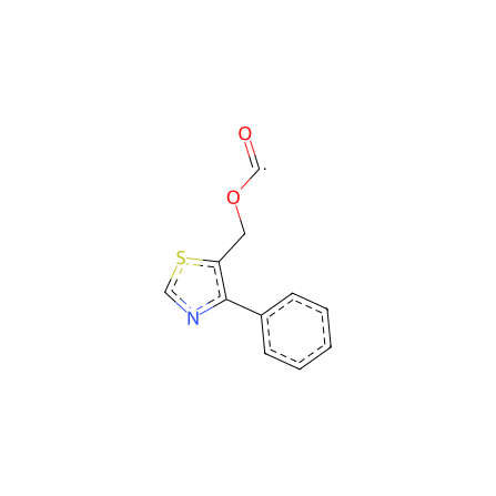 O=[C]OCc1scnc1-c1ccccc1